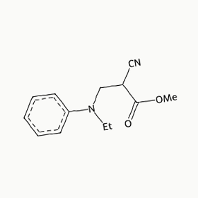 CCN(CC(C#N)C(=O)OC)c1ccccc1